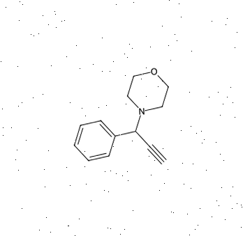 C#CC(c1ccccc1)N1CCOCC1